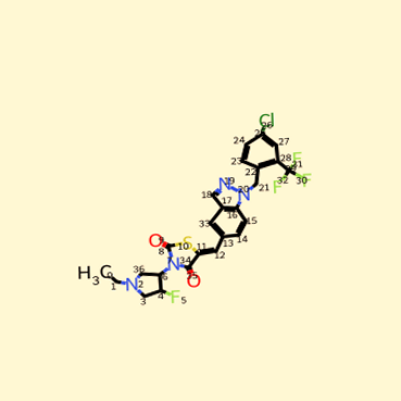 CCN1CC(F)C(N2C(=O)SC(=Cc3ccc4c(cnn4Cc4ccc(Cl)cc4C(F)(F)F)c3)C2=O)C1